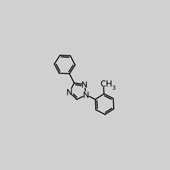 Cc1ccccc1-n1cnc(-c2ccccc2)n1